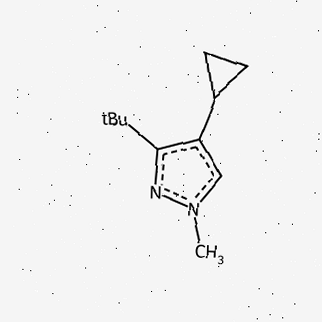 Cn1cc(C2CC2)c(C(C)(C)C)n1